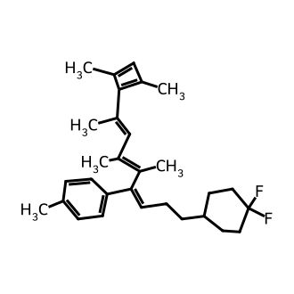 CC1=CC(C)=C1/C(C)=C/C(C)=C(C)/C(=C\CCC1CCC(F)(F)CC1)c1ccc(C)cc1